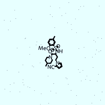 COc1ccc(C)cc1S(=O)(=O)NC(CCn1cccc1C#N)C(=O)N1CCC(C)CC1